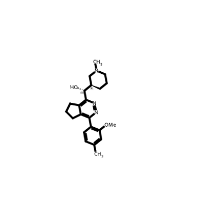 COc1cc(C)ccc1-c1nnc([C@H](O)[C@@H]2CCCN(C)C2)c2c1CCC2